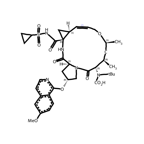 COc1ccc2c(O[C@@H]3C[C@H]4C(=O)N[C@]5(C(=O)NS(=O)(=O)C6CC6)C[C@H]5/C=C\CO[C@@H](C)C[C@@H](C)[C@H](N(C(=O)O)C(C)(C)C)C(=O)N4C3)nccc2c1